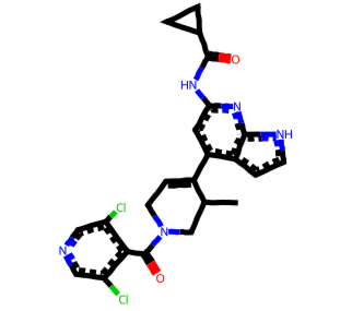 CC1CN(C(=O)c2c(Cl)cncc2Cl)CC=C1c1cc(NC(=O)C2CC2)nc2[nH]ccc12